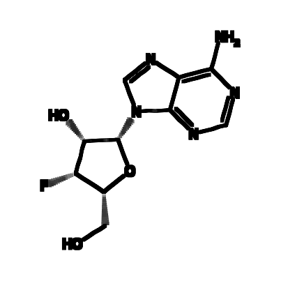 Nc1ncnc2c1ncn2[C@@H]1O[C@H](CO)[C@H](F)[C@@H]1O